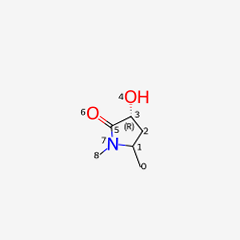 CC1C[C@@H](O)C(=O)N1C